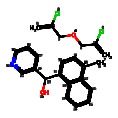 C=C(Cl)COCC(=C)Cl.Cc1ccc(C(O)c2cccnc2)c2ccccc12